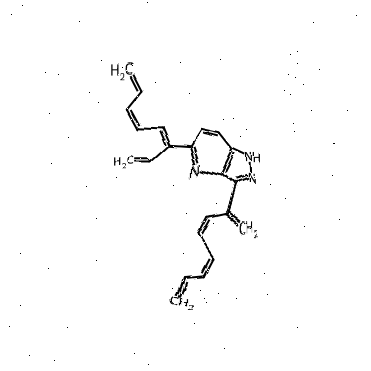 C=C/C=C\C=C/C(=C)c1n[nH]c2ccc(/C(C=C)=C/C=C\C=C)nc12